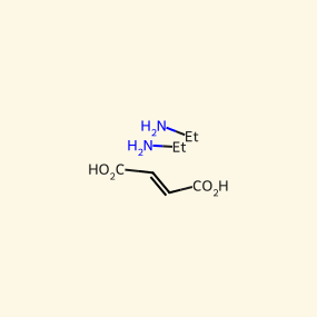 CCN.CCN.O=C(O)/C=C/C(=O)O